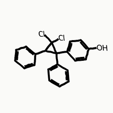 Oc1ccc(C2(c3ccccc3)C(c3ccccc3)C2(Cl)Cl)cc1